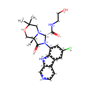 CC1(C)CN2[C@H](C(=O)NCCO)N(c3cc(Cl)cc4c3[nH]c3cnccc34)C(=O)[C@@H]2CO1